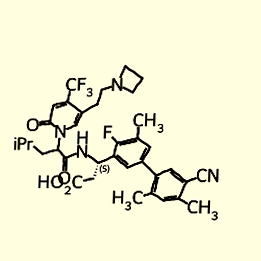 Cc1cc(C)c(-c2cc(C)c(F)c([C@H](CC(=O)O)NC(=O)C(CC(C)C)n3cc(CCN4CCC4)c(C(F)(F)F)cc3=O)c2)cc1C#N